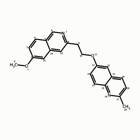 COc1ccc2cnc(CCOc3ccc4nc(C)ccc4c3)cc2c1